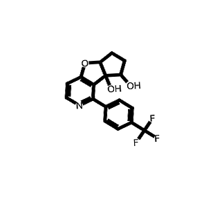 OC1CCC2Oc3ccnc(-c4ccc(C(F)(F)F)cc4)c3C12O